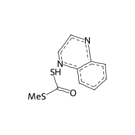 CSC(=O)S.c1ccc2nccnc2c1